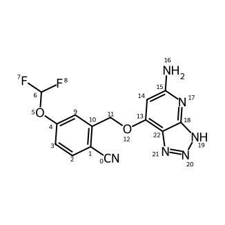 N#Cc1ccc(OC(F)F)cc1COc1cc(N)nc2[nH]nnc12